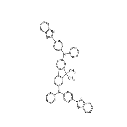 CC1(C)c2cc(N(c3ccccc3)c3ccc(-c4nc5ccccc5s4)cc3)ccc2-c2ccc(N(c3ccccc3)c3ccc(-c4nc5ccccc5s4)cc3)cc21